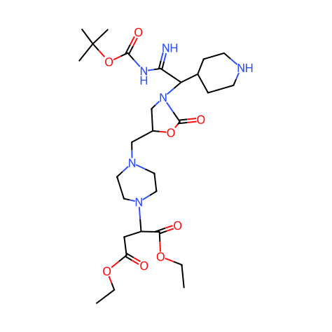 CCOC(=O)CC(C(=O)OCC)N1CCN(CC2CN(C(C(=N)NC(=O)OC(C)(C)C)C3CCNCC3)C(=O)O2)CC1